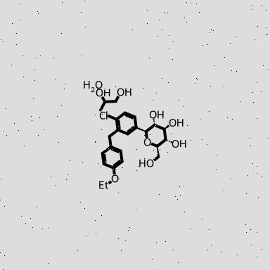 CC(O)CO.CCOc1ccc(Cc2cc([C@@H]3O[C@H](CO)[C@@H](O)[C@H](O)[C@H]3O)ccc2Cl)cc1.O